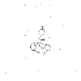 Cc1ccccc1C(Oc1ncccc1C(F)(F)F)C(C)(C)C(=O)OC1CCNCC1